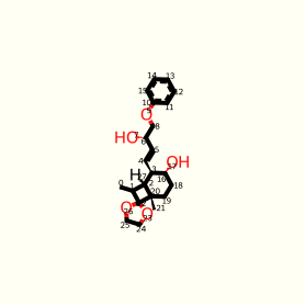 CC1[C@@H]2[C@@H](/C=C/[C@H](O)COc3ccccc3)[C@H](O)CC[C@]2(C)C12OCCO2